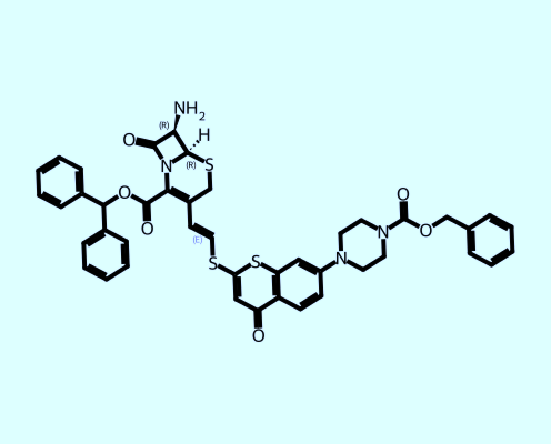 N[C@@H]1C(=O)N2C(C(=O)OC(c3ccccc3)c3ccccc3)=C(/C=C/Sc3cc(=O)c4ccc(N5CCN(C(=O)OCc6ccccc6)CC5)cc4s3)CS[C@H]12